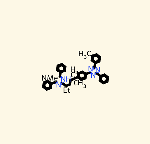 CCC(CCC(C)(C)c1ccc(-c2nc(-c3ccccc3)nc(-c3cccc(C)c3)n2)cc1)C(/N=C(\NC)c1ccccc1)NCc1ccccc1